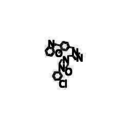 N#Cc1ccc(Cn2cncc2CN2CCN(c3cccc(Cl)c3)C(=O)C2)cc1Oc1ccccc1